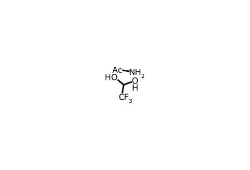 CC(N)=O.OC(O)C(F)(F)F